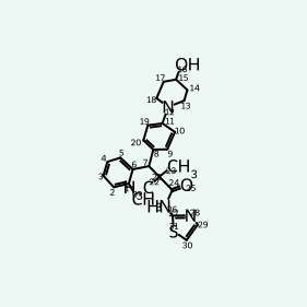 Cc1ccccc1C(c1ccc(N2CCC(O)CC2)cc1)C(C)(C)C(=O)Nc1nccs1